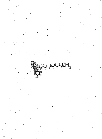 CCCCCCCCCCCCCC[N+]1(Cc2ccccc2)CCOCC1